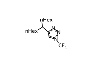 CCCCCCC(CCCCCC)c1cn(C(F)(F)F)nn1